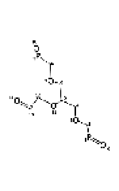 O=PCOCC(COCP=O)OCP=O